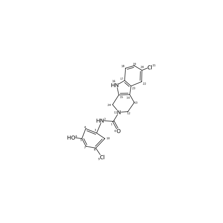 O=C(Nc1cc(O)cc(Cl)c1)N1CCc2c([nH]c3ccc(Cl)cc23)C1